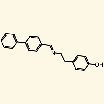 Oc1ccc(CCN=Cc2ccc(-c3ccccc3)cc2)cc1